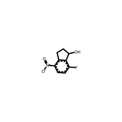 O=[N+]([O-])c1ccc(F)c2c1CCC2O